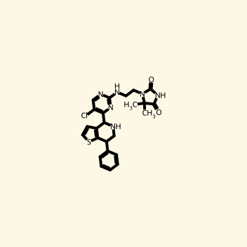 CC1(C)C(=O)NC(=O)N1CCNc1ncc(Cl)c(C2NCC(c3ccccc3)c3sccc32)n1